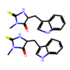 CN1C(=O)C(Cc2c[nH]c3ccccc23)NC1=S.CN1C(=O)C(Cc2c[nH]c3ccccc23)NC1=S